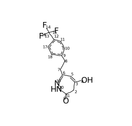 O=C1CC(O)=CC(CCc2ccc(C(F)(F)F)cc2)=NN1